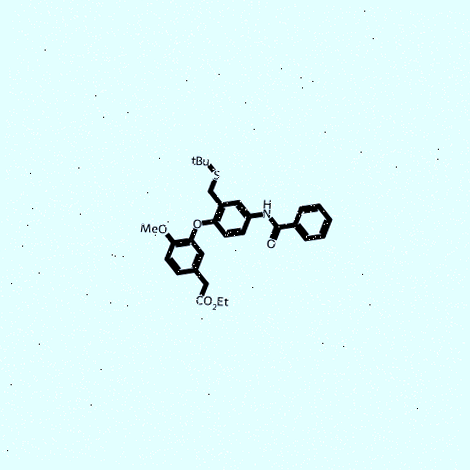 CCOC(=O)Cc1ccc(OC)c(Oc2ccc(NC(=O)c3ccccc3)cc2CSC(C)(C)C)c1